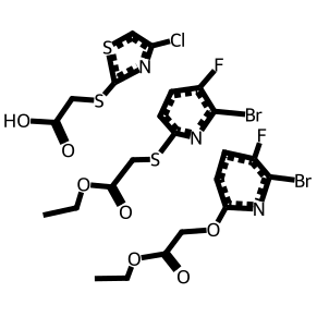 CCOC(=O)COc1ccc(F)c(Br)n1.CCOC(=O)CSc1ccc(F)c(Br)n1.O=C(O)CSc1nc(Cl)cs1